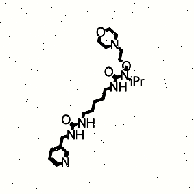 CC(C)N(OCCN1CCOCC1)C(=O)NCCCCCNC(=O)NCc1cccnc1